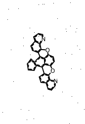 c1cnc2c3c(ccc2c1)-c1c2ccccc2c2c4c(ccc(c14)O3)Oc1c-2ccc2cccnc12